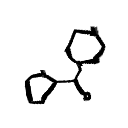 O=C(c1cccs1)N1CC[N]CC1